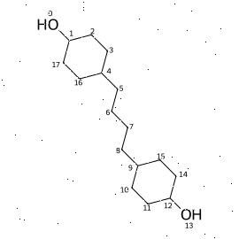 OC1CCC(CCCCC2CCC(O)CC2)CC1